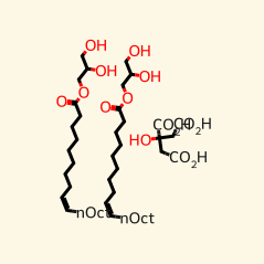 CCCCCCCC/C=C\CCCCCCCC(=O)OCC(O)CO.CCCCCCCC/C=C\CCCCCCCC(=O)OCC(O)CO.O=C(O)CC(O)(CC(=O)O)C(=O)O